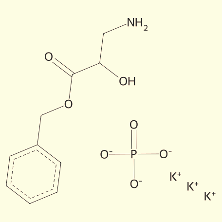 NCC(O)C(=O)OCc1ccccc1.O=P([O-])([O-])[O-].[K+].[K+].[K+]